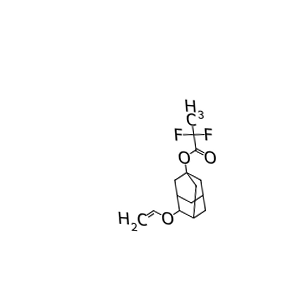 C=COC1C2CC3CC1CC(OC(=O)C(C)(F)F)(C3)C2